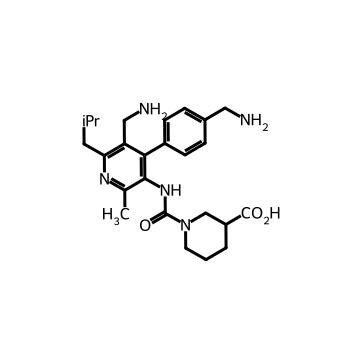 Cc1nc(CC(C)C)c(CN)c(-c2ccc(CN)cc2)c1NC(=O)N1CCCC(C(=O)O)C1